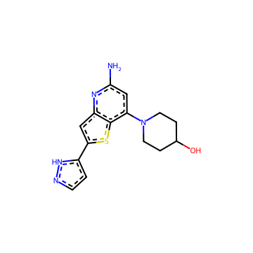 Nc1cc(N2CCC(O)CC2)c2sc(-c3ccn[nH]3)cc2n1